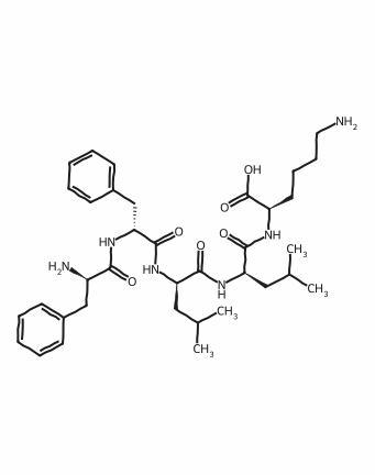 CC(C)C[C@@H](NC(=O)[C@@H](CC(C)C)NC(=O)[C@@H](Cc1ccccc1)NC(=O)[C@H](N)Cc1ccccc1)C(=O)N[C@H](CCCCN)C(=O)O